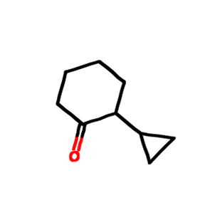 O=C1CCCCC1C1CC1